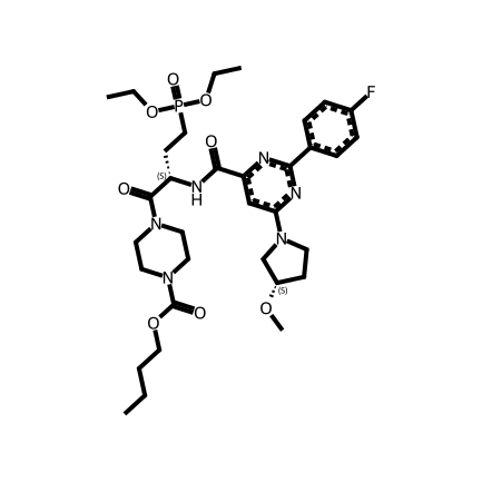 CCCCOC(=O)N1CCN(C(=O)[C@H](CCP(=O)(OCC)OCC)NC(=O)c2cc(N3CC[C@H](OC)C3)nc(-c3ccc(F)cc3)n2)CC1